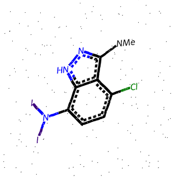 CNc1n[nH]c2c(N(I)I)ccc(Cl)c12